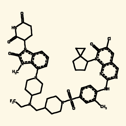 Cc1cc(S(=O)(=O)N2CCC(CN(CC(F)(F)F)C3CCN(c4cccc5c4n(C)c(=O)n5C4CCC(=O)NC4=O)CC3)CC2)ccc1Nc1ncc2cc(Cl)c(=O)n(C3CCCC34CC4)c2n1